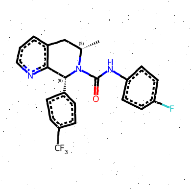 C[C@H]1Cc2cccnc2[C@@H](c2ccc(C(F)(F)F)cc2)N1C(=O)Nc1ccc(F)cc1